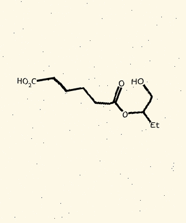 CCC(CO)OC(=O)CCCCC(=O)O